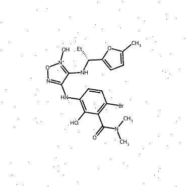 CC[C@@H](Nc1c(Nc2ccc(Br)c(C(=O)N(C)C)c2O)no[n+]1O)c1ccc(C)o1